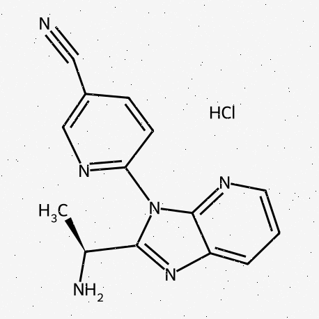 C[C@H](N)c1nc2cccnc2n1-c1ccc(C#N)cn1.Cl